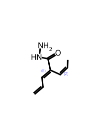 C=C/C=C(\C=C/C)C(=O)NN